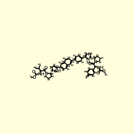 COC(=O)NC(C(=O)N1CCC[C@H]1c1ncc(-c2ccc3cc(-c4ccc(-c5cnc([C@@H]6CCCN6C(=O)[C@H](NC(=O)OC)c6ccc(F)cc6)[nH]5)cc4)ccc3c2)[nH]1)C(C)C